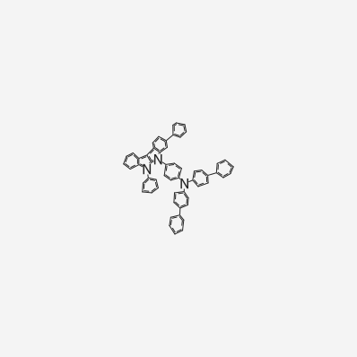 c1ccc(-c2ccc(N(c3ccc(-c4ccccc4)cc3)c3ccc(-n4c5cc(-c6ccccc6)ccc5c5c6ccccc6n(-c6ccccc6)c54)cc3)cc2)cc1